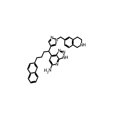 Nc1cc(C(CCCc2ccc3ccccc3c2)c2cnn(Cc3ccc4c(c3)CCNC4)c2)c2nn[nH]c2n1